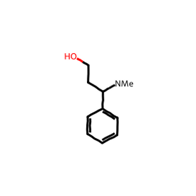 CNC(CCO)c1ccccc1